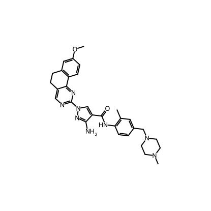 COc1ccc2c(c1)CCc1cnc(-n3cc(C(=O)Nc4ccc(CN5CCN(C)CC5)cc4C)c(N)n3)nc1-2